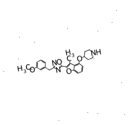 COc1cccc(Cc2noc(-c3oc4cccc(OC5CCNCC5)c4c3C)n2)c1